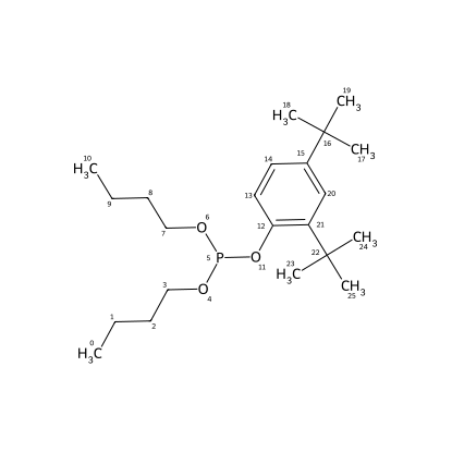 CCCCOP(OCCCC)Oc1ccc(C(C)(C)C)cc1C(C)(C)C